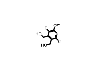 COc1nc(Cl)c(CO)c(CO)c1F